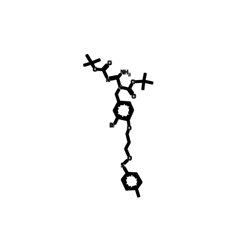 Cc1ccc(SOCCCOc2ccc(CN(C(=O)OC(C)(C)C)C(N)=NC(=O)OC(C)(C)C)cc2Br)cc1